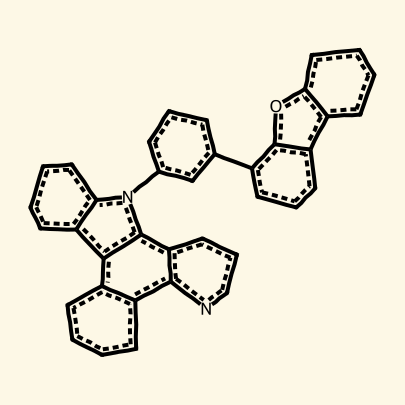 c1cc(-c2cccc3c2oc2ccccc23)cc(-n2c3ccccc3c3c4ccccc4c4ncccc4c32)c1